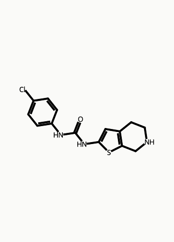 O=C(Nc1ccc(Cl)cc1)Nc1cc2c(s1)CNCC2